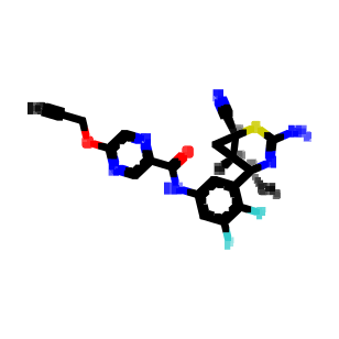 C#CCOc1cnc(C(=O)Nc2cc(F)c(F)c([C@]3(C)N=C(N)S[C@@]4(C#N)C[C@@H]34)c2)cn1